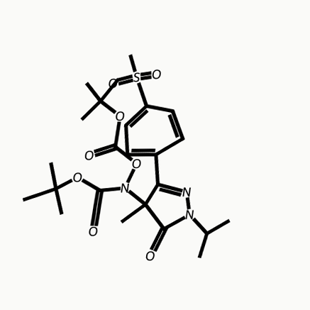 CC(C)N1N=C(c2ccc(S(C)(=O)=O)cc2)C(C)(N(OC(=O)OC(C)(C)C)C(=O)OC(C)(C)C)C1=O